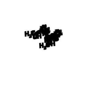 COc1ncc(-c2ccc3ncc(C#CC(C)O)n3n2)cc1NS(=O)(=O)c1ccccc1